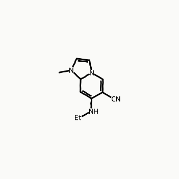 CCNC1=CC2N(C)C=CN2C=C1C#N